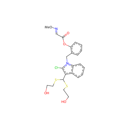 CON=CC(=O)Oc1ccccc1Cn1c(Cl)c(C(SCCO)SCCO)c2ccccc21